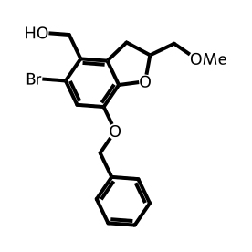 COCC1Cc2c(CO)c(Br)cc(OCc3ccccc3)c2O1